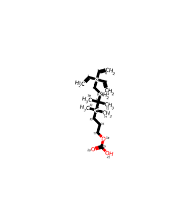 C=C[Si](C=C)(C=C)C[SiH2]C(C)(C)[Si](C)(C)CCCOC(=O)O